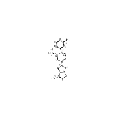 CC(C)N1CCC2=C1CN([C@H]1CO[C@H](c3cc(F)ccc3F)[C@@H](N)C1)C2